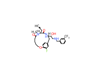 C#CC[C@H]1C(=O)N[C@H]([C@H](O)CNCc2cccc(C(F)(F)F)c2)Cc2ccc(c(F)c2)OCCCCC(=O)N1C